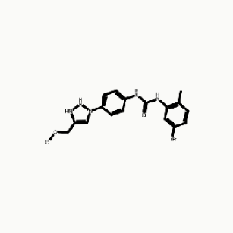 CCOCC1=CN(c2ccc(NC(=O)Nc3cc(C(C)C)ccc3C)cc2)NN1